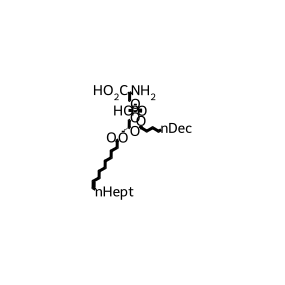 CCCCCCC/C=C\CCCCCCCC(=O)OC[C@H](COP(=O)(O)OC[C@H](N)C(=O)O)OC(=O)CCCCCCCCCCCCC